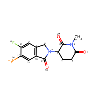 CN1C(=O)CCC(N2Cc3cc(F)c(P)cc3C2=O)C1=O